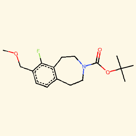 COCc1ccc2c(c1F)CCN(C(=O)OC(C)(C)C)CC2